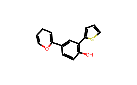 Oc1ccc(C2=CCC=CO2)cc1-c1cccs1